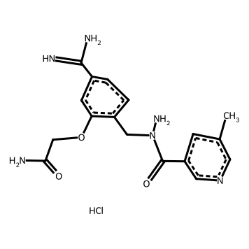 Cc1cncc(C(=O)N(N)Cc2ccc(C(=N)N)cc2OCC(N)=O)c1.Cl